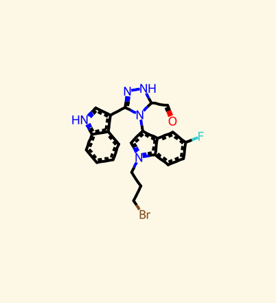 O=CC1NN=C(c2c[nH]c3ccccc23)N1c1cn(CCCBr)c2ccc(F)cc12